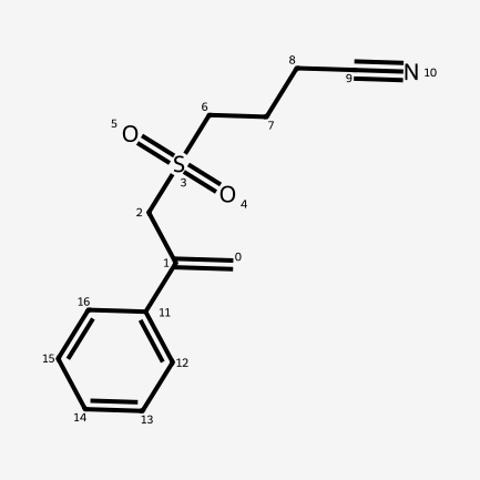 C=C(CS(=O)(=O)CCCC#N)c1ccccc1